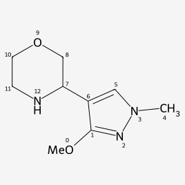 COc1nn(C)cc1C1COCCN1